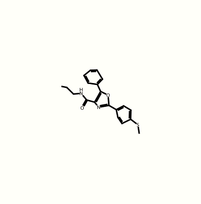 CCCNC(=O)c1nc(-c2ccc(SC)cc2)oc1-c1ccccc1